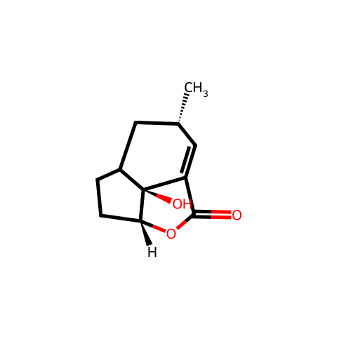 C[C@@H]1C=C2C(=O)O[C@@H]3CCC(C1)[C@]23O